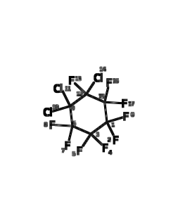 FC1(F)C(F)(F)C(F)(F)C(Cl)(Cl)C(F)(Cl)C1(F)F